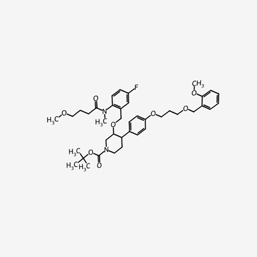 COCCCC(=O)N(C)c1ccc(F)cc1COC1CN(C(=O)OC(C)(C)C)CCC1c1ccc(OCCCOCc2ccccc2OC)cc1